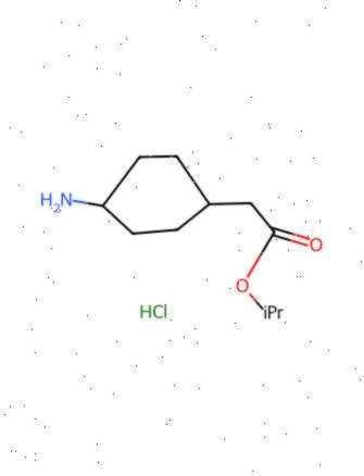 CC(C)OC(=O)CC1CCC(N)CC1.Cl